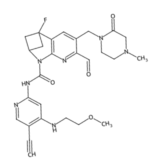 C#Cc1cnc(NC(=O)N2c3nc(C=O)c(CN4CCN(C)CC4=O)cc3C3(F)CC2C3)cc1NCCOC